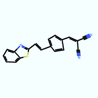 N#CC(C#N)=Cc1ccc(C=Cc2nc3ccccc3s2)cc1